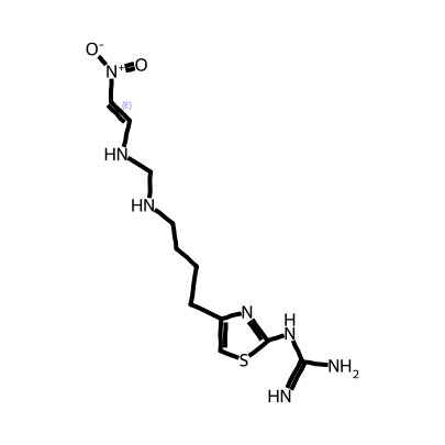 N=C(N)Nc1nc(CCCCNCN/C=C/[N+](=O)[O-])cs1